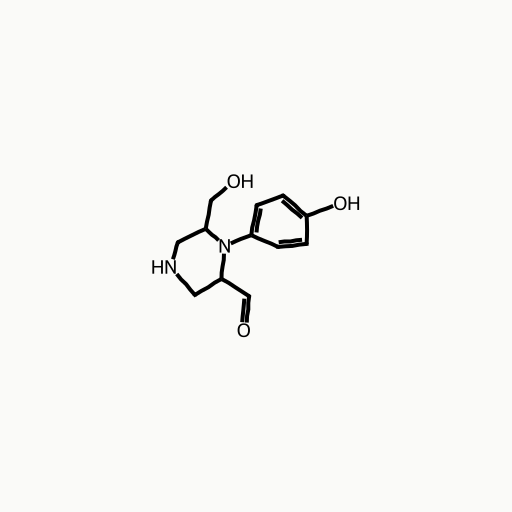 O=CC1CNCC(CO)N1c1ccc(O)cc1